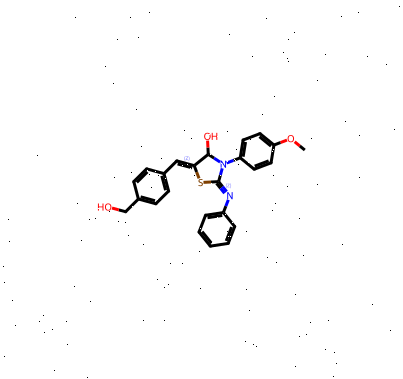 COc1ccc(N2/C(=N/c3ccccc3)S/C(=C\c3ccc(CO)cc3)C2O)cc1